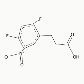 O=C(O)CCc1cc([N+](=O)[O-])c(F)cc1F